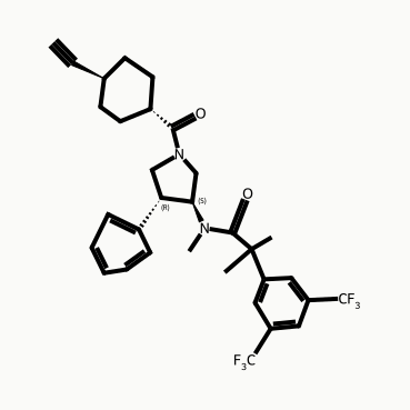 C#C[C@H]1CC[C@H](C(=O)N2C[C@@H](N(C)C(=O)C(C)(C)c3cc(C(F)(F)F)cc(C(F)(F)F)c3)[C@H](c3ccccc3)C2)CC1